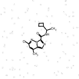 Cc1cc(Cl)nn2c(C(=O)NC(C)C3CCC3)ncc12